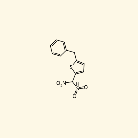 O=[N+]([O-])C(c1ccc(Cc2ccccc2)s1)[SH](=O)=O